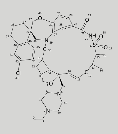 CCN1CCN(C[C@]2(OC)/C=C/CC(C)C(C)S(=O)(=O)NC(=O)c3ccc4c(c3)N(CC3CCC32)C[C@@]2(CCCc3cc(Cl)ccc32)CO4)CC1